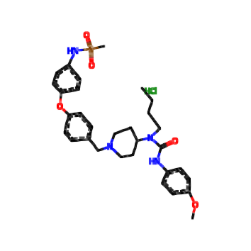 CCCCN(C(=O)Nc1ccc(OC)cc1)C1CCN(Cc2ccc(Oc3ccc(NS(C)(=O)=O)cc3)cc2)CC1.Cl